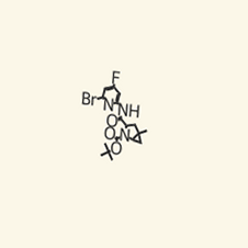 CC(C)(C)OC(=O)N1C(C(=O)Nc2cc(F)cc(Br)n2)CC2(C)CC12